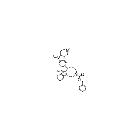 CCN1c2ccc(C3CCCN(C(=O)OCc4ccccc4)CCc4c3[nH]c3ccccc43)cc2C2CN(C)CCC21